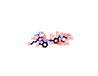 CNC(=O)C(O)(CCC=O)N1C(=O)c2cccc(NC(O)(O)c3cccc(C4(O)OOC5(O)N4C(O)(O)C(O)(O)OC5(O)O)c3F)c2C1(O)O